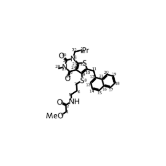 COCC(=O)NCCCSc1c(Cc2cccc3ccccc23)sc2c1c(=O)n(C)c(=O)n2CC(C)C